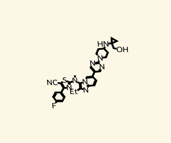 CCc1nc2ccc(-c3cnc(N4CCC(NC5(CO)CC5)CC4)nc3)cn2c1N(C)c1nc(-c2ccc(F)cc2)c(C#N)s1